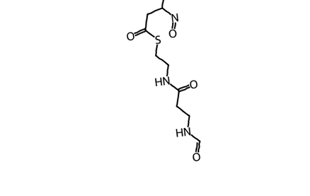 CC(CC(=O)SCCNC(=O)CCNC=O)N=O